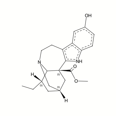 CC[C@H]1C[C@@H]2CN3CCc4c([nH]c5ccc(O)cc45)[C@](C(=O)OC)(C2)C13